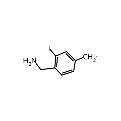 [CH2]c1ccc(CN)c(I)c1